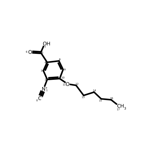 [C-]#[N+]c1cc(C(=O)O)ccc1OCCCCCC